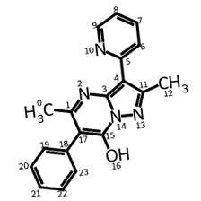 Cc1nc2c(-c3ccccn3)c(C)nn2c(O)c1-c1ccccc1